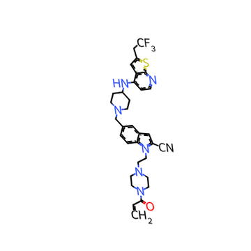 C=CC(=O)N1CCN(CCn2c(C#N)cc3cc(CN4CCC(Nc5ccnc6sc(CC(F)(F)F)cc56)CC4)ccc32)CC1